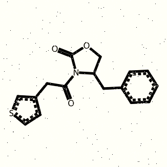 O=C(Cc1ccsc1)N1C(=O)OCC1Cc1ccccc1